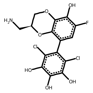 NC[C@H]1COc2c(O)c(F)cc(-c3c(Cl)c(O)c(O)c(O)c3Cl)c2O1